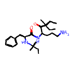 CCC(C)(C)NC(Cc1ccccc1)C(=O)NC(CCCN)C(=O)C(C)(CC)CC